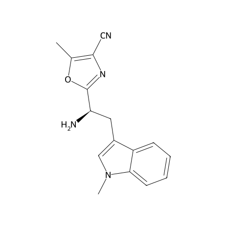 Cc1oc([C@H](N)Cc2cn(C)c3ccccc23)nc1C#N